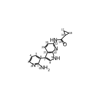 Nc1ncccc1-c1c[nH]c2nc(NC(=O)C3CC3)ccc12